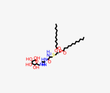 CCCCCCCCCCCC(=O)OC[C@H](CSC[C@@H](N)C(=O)Nc1cn(CC2OC(O)C(O)C(O)C2O)nn1)OC(=O)CCCCCCCCCCC